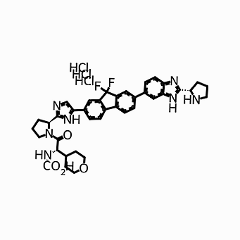 Cl.Cl.Cl.O=C(O)N[C@H](C(=O)N1CCC[C@H]1c1ncc(-c2ccc3c(c2)C(F)(F)c2cc(-c4ccc5nc([C@@H]6CCCN6)[nH]c5c4)ccc2-3)[nH]1)C1CCOCC1